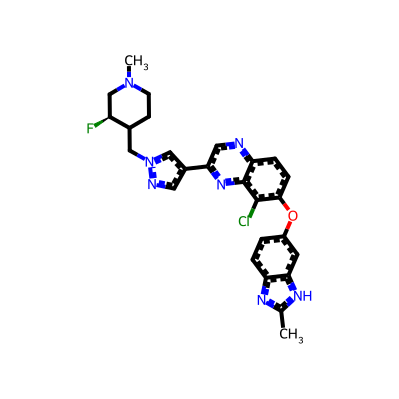 Cc1nc2ccc(Oc3ccc4ncc(-c5cnn(CC6CCN(C)C[C@@H]6F)c5)nc4c3Cl)cc2[nH]1